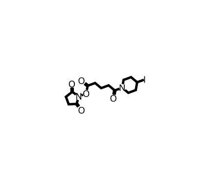 O=C(CCCC(=O)N1CCC(I)CC1)ON1C(=O)CCC1=O